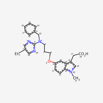 CCc1cnc(N(CCCOc2ccc3c(c2)c(CC(=O)O)cn3C)Cc2ccccc2)nc1